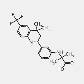 CC(C)(Nc1cccc(C2CC(C)(C)c3cc(C(F)(F)F)ccc3N2)c1)C(=O)O